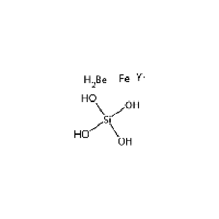 O[Si](O)(O)O.[BeH2].[Fe].[Y]